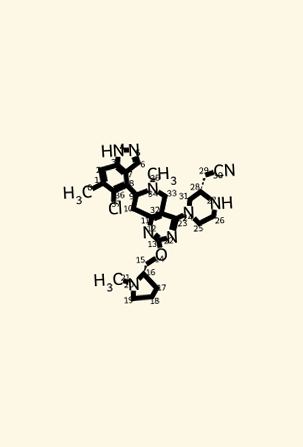 Cc1cc2[nH]ncc2c(C2Cc3nc(OC[C@@H]4CCCN4C)nc(N4CCN[C@@H](CC#N)C4)c3CN2C)c1Cl